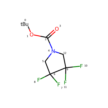 CC(C)(C)OC(=O)N1CC(F)(F)C(F)(F)C1